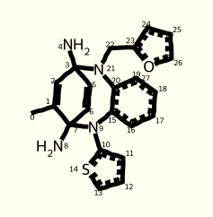 CC1=CC2(N)C=CC1(N)N(c1cccs1)c1ccccc1N2Cc1ccco1